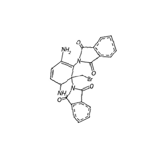 NC1=C(N2C(=O)c3ccccc3C2=O)C(CBr)(N2C(=O)c3ccccc3C2=O)C(N)C=C1